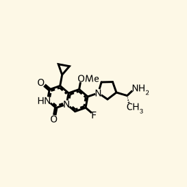 COc1c(N2CCC([C@@H](C)N)C2)c(F)cn2c(=O)[nH]c(=O)c(C3CC3)c12